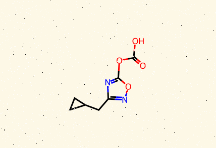 O=C(O)Oc1nc(CC2CC2)no1